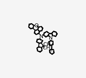 CC1(C)c2ccccc2-c2ccc(N(c3ccc4c5ccccc5n(-c5ccc(-c6ccccc6)cc5)c4c3)c3ccc4c5c(cccc35)Oc3ccccc3-4)cc21